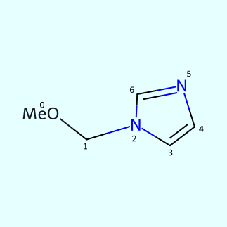 [CH2]OCn1ccnc1